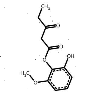 CCC(=O)CC(=O)Oc1c(O)cccc1OC